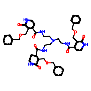 O=C(NCCN(CCNC(=O)c1cc[nH]c(=O)c1COCc1ccccc1)CCNC(=O)c1cc[nH]c(=O)c1COCc1ccccc1)c1cc[nH]c(=O)c1COCc1ccccc1